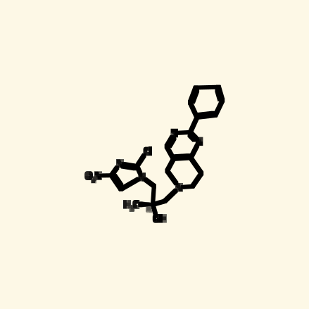 C[C@](O)(CN1CCc2nc(-c3ccccc3)ncc2C1)Cn1cc([N+](=O)[O-])nc1Cl